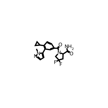 Cn1nccc1-c1cc(C(=O)N2CC(F)(F)CC2C(N)=O)ccc1C1CC1